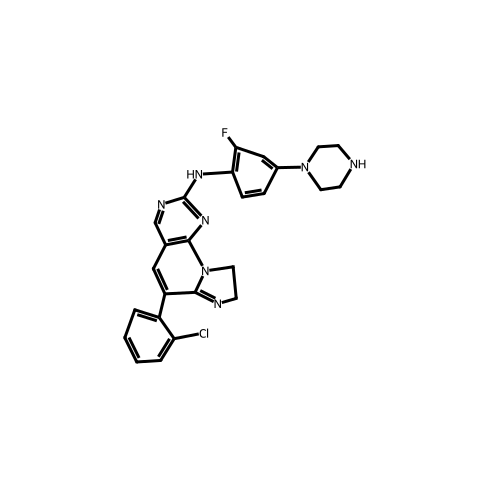 Fc1cc(N2CCNCC2)ccc1Nc1ncc2c(n1)N1CCN=C1C(c1ccccc1Cl)=C2